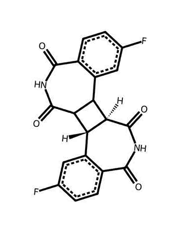 O=C1NC(=O)C2C(c3cc(F)ccc31)[C@H]1C(=O)NC(=O)c3ccc(F)cc3[C@H]21